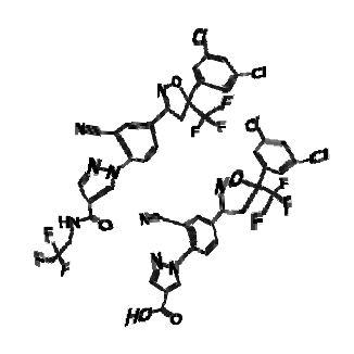 N#Cc1cc(C2=NOC(c3cc(Cl)cc(Cl)c3)(C(F)(F)F)C2)ccc1-n1cc(C(=O)NCC(F)(F)F)cn1.N#Cc1cc(C2=NOC(c3cc(Cl)cc(Cl)c3)(C(F)(F)F)C2)ccc1-n1cc(C(=O)O)cn1